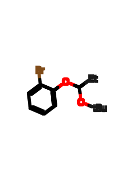 CCC(Oc1ccccc1Br)OC(C)(C)C